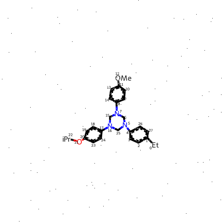 CCc1ccc(N2CN(c3ccc(OC)cc3)CN(c3ccc(OC(C)C)cc3)C2)cc1